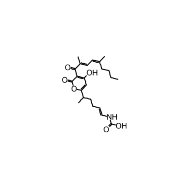 CCCCC(C)=CC=C(C)C(=O)c1c(O)cc(C(C)CCC=CNC(=O)O)oc1=O